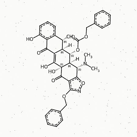 C[C@H]1c2cccc(O)c2C(=O)C2=C(O)[C@]3(O)C(=O)c4c(OCc5ccccc5)noc4[C@@H](N(C)C)[C@@H]3[C@@H](OC(=O)OCc3ccccc3)[C@@H]21